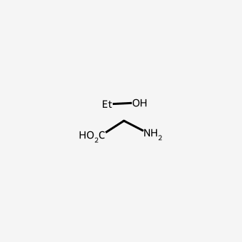 CCO.NCC(=O)O